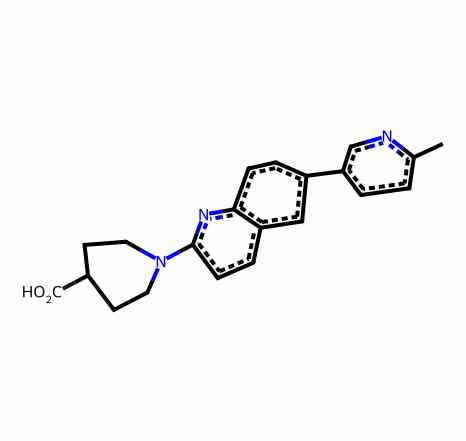 Cc1ccc(-c2ccc3nc(N4CCC(C(=O)O)CC4)ccc3c2)cn1